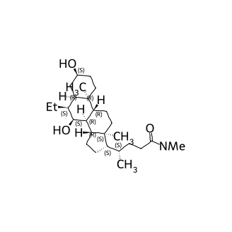 CC[C@@H]1[C@H](O)[C@H]2[C@@H](CC[C@]3(C)[C@@H]2CC[C@H]3[C@@H](C)CCC(=O)NC)[C@]2(C)CC[C@H](O)C[C@H]12